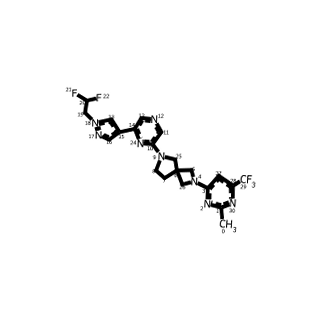 Cc1nc(N2CC3(CCN(c4cncc(-c5cnn(CC(F)F)c5)n4)C3)C2)cc(C(F)(F)F)n1